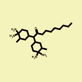 CCCCCCCCC(=O)C(C1CCC(N)(N)C(C)C1)C1CCC(N)(N)C(C)C1